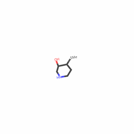 CSC1CCNCC1O